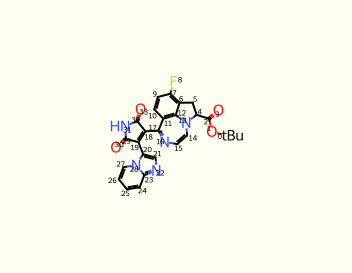 CC(C)(C)OC(=O)C1Cc2c(F)ccc3c2N1C=CN=C3C1=C(c2cnc3ccccn23)C(=O)NC1=O